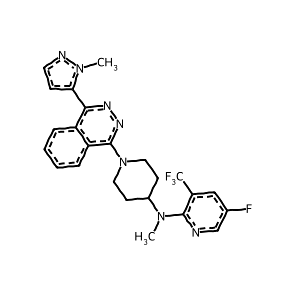 CN(c1ncc(F)cc1C(F)(F)F)C1CCN(c2nnc(-c3ccnn3C)c3ccccc23)CC1